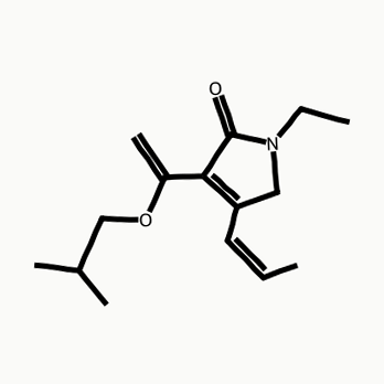 C=C(OCC(C)C)C1=C(/C=C\C)CN(CC)C1=O